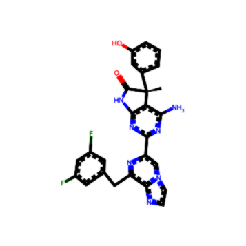 C[C@]1(c2cccc(O)c2)C(=O)Nc2nc(-c3cn4ccnc4c(Cc4cc(F)cc(F)c4)n3)nc(N)c21